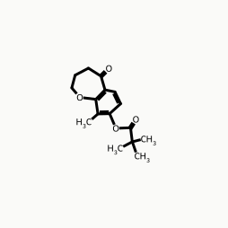 Cc1c(OC(=O)C(C)(C)C)ccc2c1OCCCC2=O